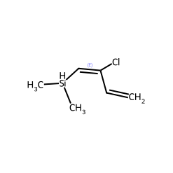 C=C/C(Cl)=C\[SiH](C)C